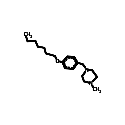 CCCCCCCOc1ccc(CN2CCN(C)CC2)cc1